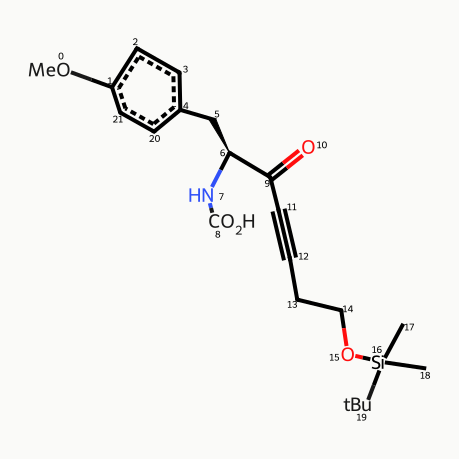 COc1ccc(C[C@H](NC(=O)O)C(=O)C#CCCO[Si](C)(C)C(C)(C)C)cc1